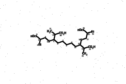 CCCCCCCCC(CC)CSC(CCCCCC(SCC(CC)CCCCCCCC)C(C)C(=O)O)C(C)C(=O)O